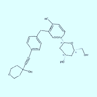 N#Cc1ccc([C@H]2C[C@@H](O)C[C@@H](CO)O2)cc1Cc1ccc(C#CC2(O)CCOCC2)cc1